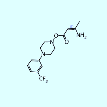 C/C(N)=C/C(=O)ON1CCN(c2cccc(C(F)(F)F)c2)CC1